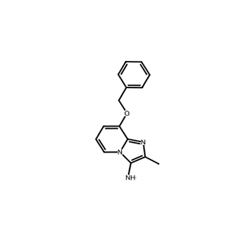 Cc1nc2c(OCc3ccccc3)cccn2c1[NH]